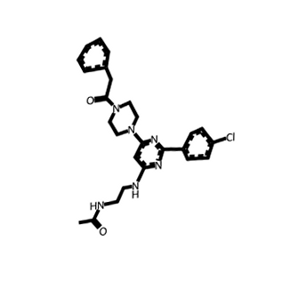 CC(=O)NCCNc1cc(N2CCN(C(=O)Cc3ccccc3)CC2)nc(-c2ccc(Cl)cc2)n1